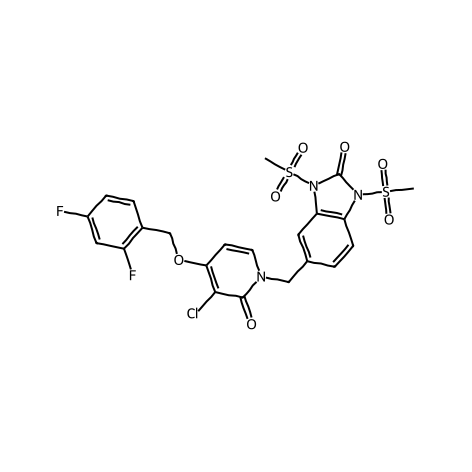 CS(=O)(=O)n1c(=O)n(S(C)(=O)=O)c2cc(Cn3ccc(OCc4ccc(F)cc4F)c(Cl)c3=O)ccc21